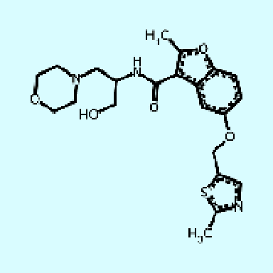 Cc1ncc(COc2ccc3oc(C)c(C(=O)NC(CO)CN4CCOCC4)c3c2)s1